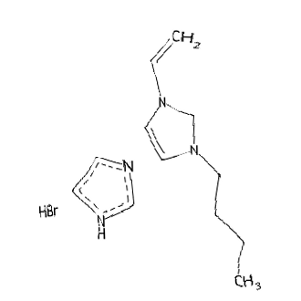 Br.C=CN1C=CN(CCCC)C1.c1c[nH]cn1